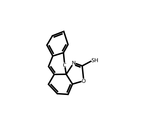 SC1=NC23Cc4ccccc4C=C2C=CC=C3O1